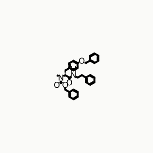 CN(C(=O)OCc1ccccc1)[C@@H](Cc1ccc(OCc2ccccc2)cc1)C(=O)NCCc1ccccc1